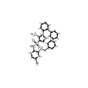 Cc1c(S(=O)(=O)Nc2ncc(Br)nc2OCc2ccccc2)cnn1-c1ccccc1-c1ccccc1